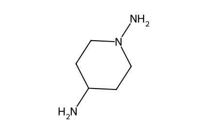 NC1CCN(N)CC1